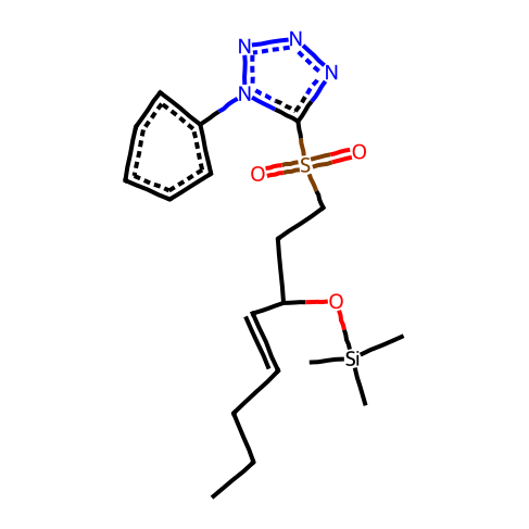 CCCC=CC(CCS(=O)(=O)c1nnnn1-c1ccccc1)O[Si](C)(C)C